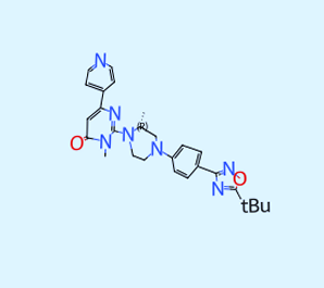 C[C@@H]1CN(c2ccc(-c3noc(C(C)(C)C)n3)cc2)CCN1c1nc(-c2ccncc2)cc(=O)n1C